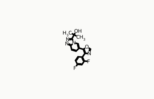 CC(C)(O)c1nnc2ccc(-c3ocnc3-c3ccc(F)cc3F)cn12